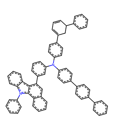 C1=CC(c2ccccc2)CC(c2ccc(N(c3ccc(-c4ccc(-c5ccccc5)cc4)cc3)c3cccc(-c4cc5ccccc5c5c4c4ccccc4n5-c4ccccc4)c3)cc2)=C1